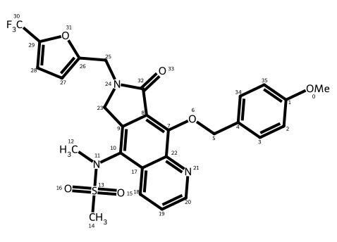 COc1ccc(COc2c3c(c(N(C)S(C)(=O)=O)c4cccnc24)CN(Cc2ccc(C(F)(F)F)o2)C3=O)cc1